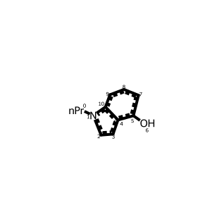 CCCn1ccc2c(O)cccc21